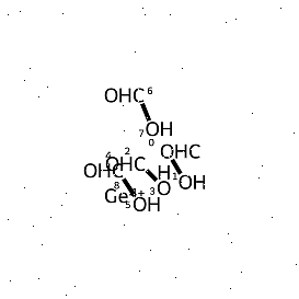 O=[C-]O.O=[C-]O.O=[C-]O.O=[C-]O.[Ge+4]